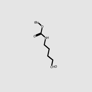 CC(C)(C)OC(=O)NCCCCC=O